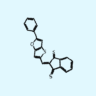 S=C1C(=Cc2cc3oc(-c4ccccc4)cc3s2)C(=S)c2ccccc21